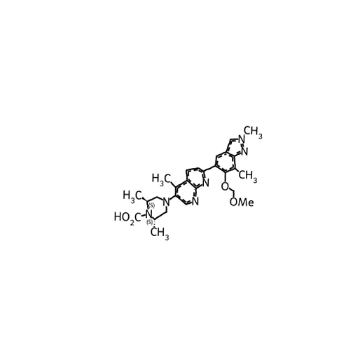 COCOc1c(-c2ccc3c(C)c(N4C[C@H](C)N(C(=O)O)[C@@H](C)C4)cnc3n2)cc2cn(C)nc2c1C